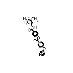 CC(C)(C)CCNC(=O)c1ccc(OC(=O)N2CCC(On3ccnc3)CC2)cc1